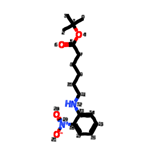 CC(C)(C)OC(=O)CCCCCNc1ccccc1[N+](=O)[O-]